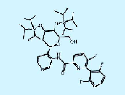 CC(C)[Si](O[C@@H]1[C@@H](CO)O[C@@H](c2ccncc2NC(=O)c2ccc(F)c(-c3c(F)cccc3F)n2)C[C@H]1O[Si](C(C)C)(C(C)C)C(C)C)(C(C)C)C(C)C